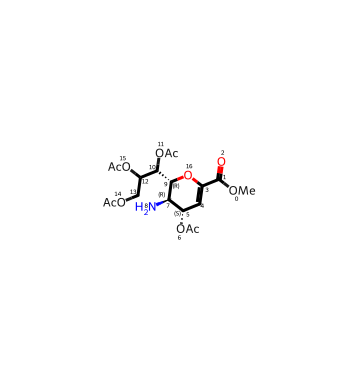 COC(=O)C1=C[C@H](OC(C)=O)[C@@H](N)[C@H](C(OC(C)=O)C(COC(C)=O)OC(C)=O)O1